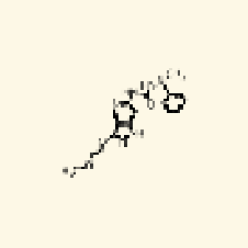 COCCOc1n[nH]c2cc(NC(=O)N[C@H](C)c3ccccc3)ncc12